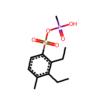 CCc1c(C)ccc(S(=O)(=O)OP(C)(=O)O)c1CC